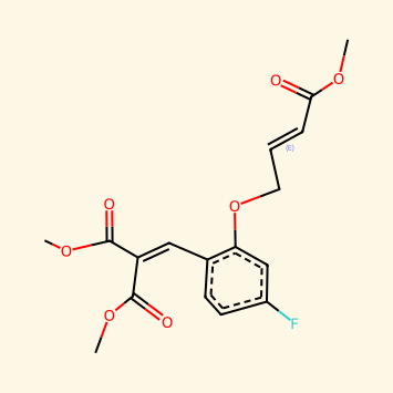 COC(=O)/C=C/COc1cc(F)ccc1C=C(C(=O)OC)C(=O)OC